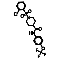 O=C(Nc1ccc(OC(F)(F)F)cc1)C1CCN(S(=O)(=O)c2ccccc2Cl)CC1